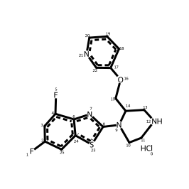 Cl.Fc1cc(F)c2nc(N3CCNCC3COc3cccnc3)sc2c1